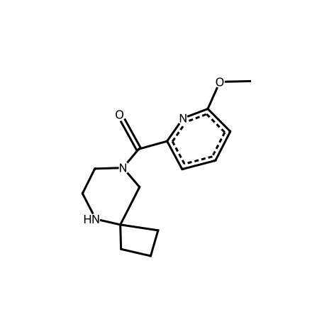 COc1cccc(C(=O)N2CCNC3(CCC3)C2)n1